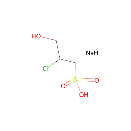 O=S(=O)(O)CC(Cl)CO.[NaH]